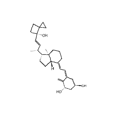 C=C1/C(=C\C=C2/CCC[C@]3(C)[C@@H]([C@H](C)/C=C/[C@@]4(O)CCC45CC5)CC[C@@H]23)C[C@@H](O)C[C@@H]1O